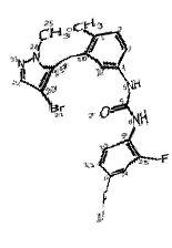 Cc1ccc(NC(=O)Nc2ccc(F)cc2F)cc1-c1c(Br)cnn1C